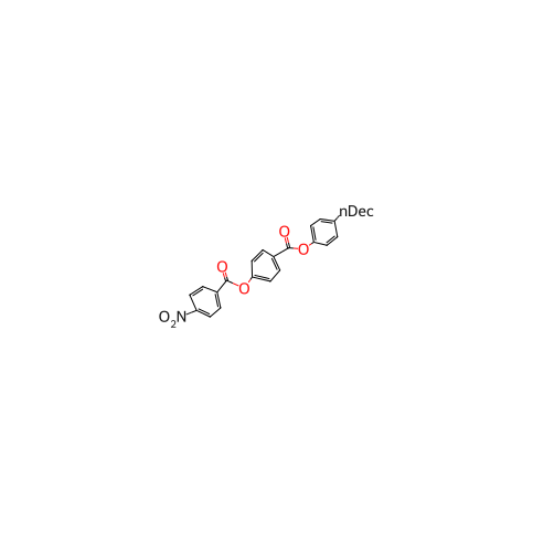 CCCCCCCCCCc1ccc(OC(=O)c2ccc(OC(=O)c3ccc([N+](=O)[O-])cc3)cc2)cc1